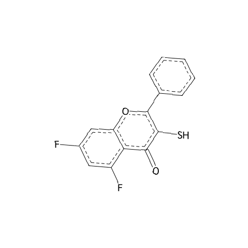 O=c1c(S)c(-c2ccccc2)oc2cc(F)cc(F)c12